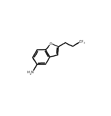 Nc1ccc2oc(CCC(F)(F)F)cc2c1